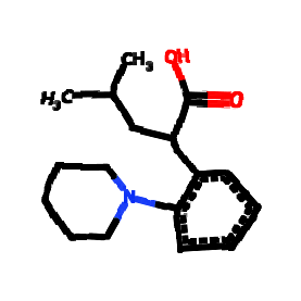 CC(C)CC(C(=O)O)c1ccccc1N1CCCCC1